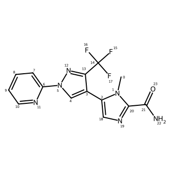 Cn1c(-c2cn(-c3ccccn3)nc2C(F)(F)F)cnc1C(N)=O